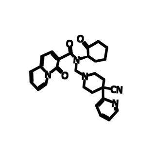 N#CC1(c2ccccn2)CCN(CN(C(=O)c2ccc3ccccn3c2=O)[C@@H]2CCCCC2=O)CC1